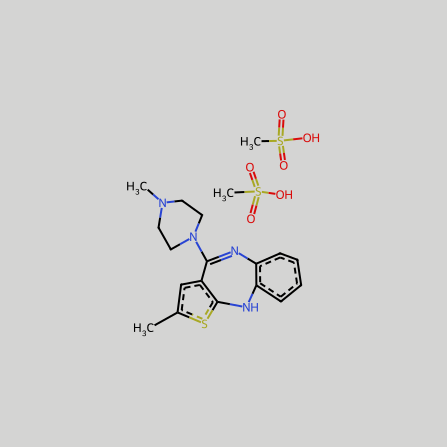 CS(=O)(=O)O.CS(=O)(=O)O.Cc1cc2c(s1)Nc1ccccc1N=C2N1CCN(C)CC1